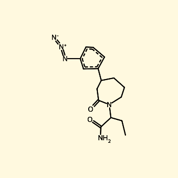 CCC(C(N)=O)N1CCCC(c2cccc(N=[N+]=[N-])c2)CC1=O